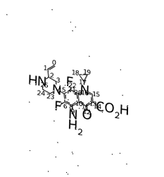 C=CC1CN(c2c(F)c(N)c3c(=O)c(C(=O)O)cn(C4CC4)c3c2F)CCN1